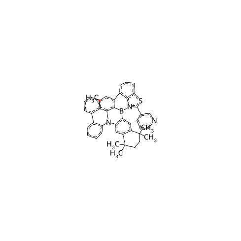 Cc1cc2c3c(c1)N(c1ccccc1-c1ccccc1)c1cc4c(cc1B3[n+]1c(-c3cccnc3)sc3cccc-2c31)C(C)(C)CCC4(C)C